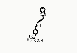 CC(C)(Oc1ccc(CNCC#CCc2nc3ccccc3o2)cc1)C(=O)O